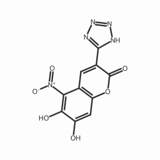 O=c1oc2cc(O)c(O)c([N+](=O)[O-])c2cc1-c1nnn[nH]1